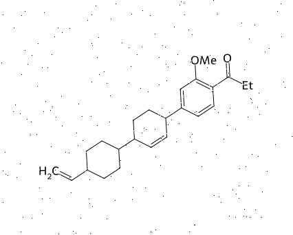 C=CC1CCC(C2C=CC(c3ccc(C(=O)CC)c(OC)c3)CC2)CC1